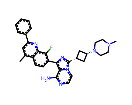 Cc1cc(-c2ccccc2)nc2c(F)c(-c3nc([C@H]4C[C@@H](N5CCN(C)CC5)C4)n4ccnc(N)c34)ccc12